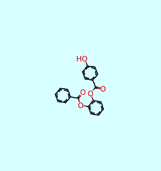 O=C(Oc1ccccc1OC(=O)c1ccc(O)cc1)c1ccccc1